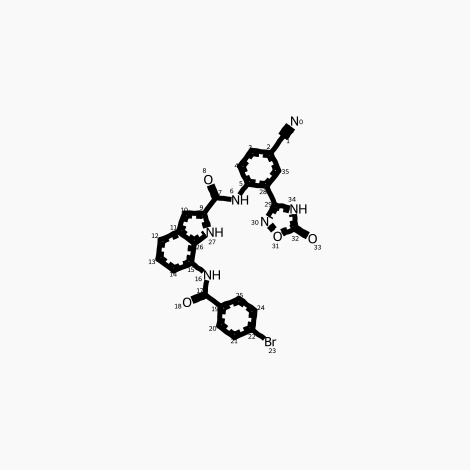 N#Cc1ccc(NC(=O)c2cc3cccc(NC(=O)c4ccc(Br)cc4)c3[nH]2)c(-c2noc(=O)[nH]2)c1